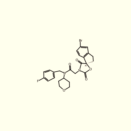 O=C1O[C@@]2(CCc3cc(Br)ccc32)C(=O)N1CC(=O)N(Cc1ccc(F)cc1)C1CCOCC1